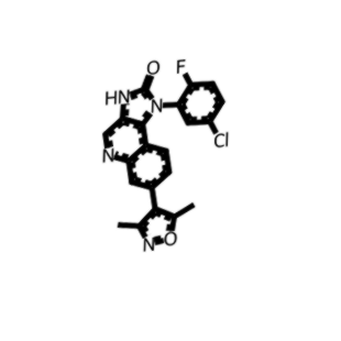 Cc1noc(C)c1-c1ccc2c(c1)ncc1[nH]c(=O)n(-c3cc(Cl)ccc3F)c12